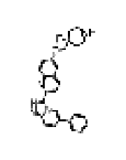 FC1(COc2ccc3nc(-c4nnc5ccc(-c6ccccc6)cn45)ccc3c2)CCNCC1